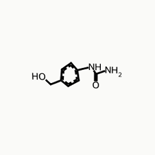 NC(=O)Nc1ccc(CO)cc1